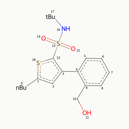 CCCCc1cc(-c2ccccc2CO)c(S(=O)(=O)NC(C)(C)C)s1